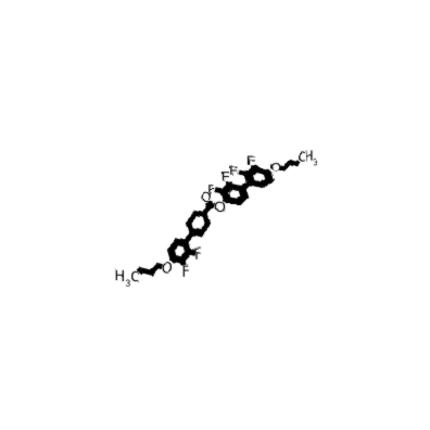 CCCCOc1ccc(C2=CCC(C(=O)Oc3ccc(-c4ccc(OCCCC)c(F)c4F)c(F)c3F)CC2)c(F)c1F